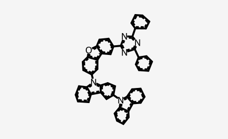 c1ccc(-c2nc(-c3ccccc3)nc(-c3ccc4oc5ccc(-n6c7ccccc7c7cc(-n8c9ccccc9c9ccccc98)ccc76)cc5c4c3)n2)cc1